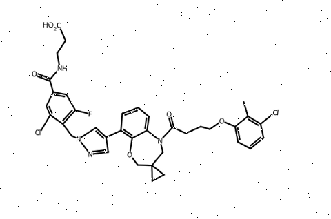 Cc1c(Cl)cccc1OCCCC(=O)N1CC2(CC2)COc2c(-c3cnn(Cc4c(F)cc(C(=O)NCCC(=O)O)cc4Cl)c3)cccc21